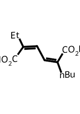 CCCCC(=CC=C(CC)C(=O)O)C(=O)O